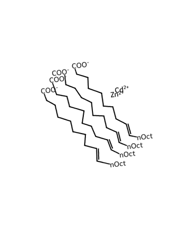 CCCCCCCCC=CCCCCCCCC(=O)[O-].CCCCCCCCC=CCCCCCCCC(=O)[O-].CCCCCCCCC=CCCCCCCCC(=O)[O-].CCCCCCCCC=CCCCCCCCC(=O)[O-].[Cd+2].[Zn+2]